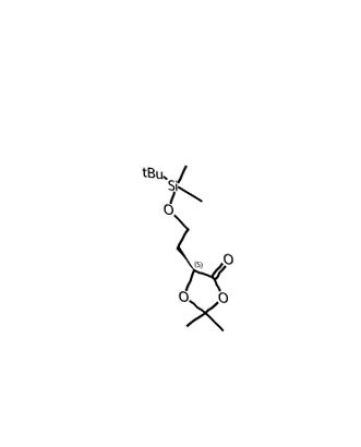 CC1(C)OC(=O)[C@H](CCO[Si](C)(C)C(C)(C)C)O1